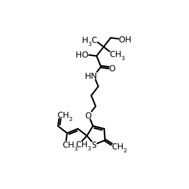 C=C/C(C)=C/C1(C)SC(=C)C=C1OCCCNC(=O)C(O)C(C)(C)CO